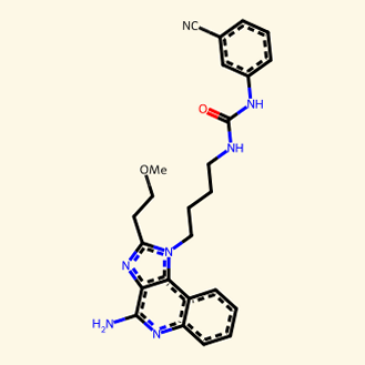 COCCc1nc2c(N)nc3ccccc3c2n1CCCCNC(=O)Nc1cccc(C#N)c1